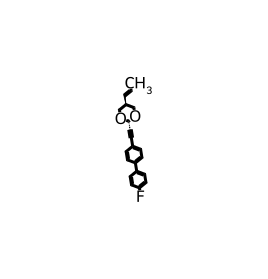 CC=C[C@H]1CO[C@H](C#Cc2ccc(-c3ccc(F)cc3)cc2)OC1